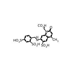 Cc1cc(=O)n(CC(=O)O)c2cc(NCc3ccc(S(=O)(=O)O)cc3S(=O)(=O)O)c(S(=O)(=O)O)cc12